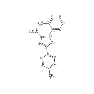 CCOC(=O)c1nc(-c2ccc(C(F)(F)F)cc2)oc1-c1ccccc1C(F)(F)F